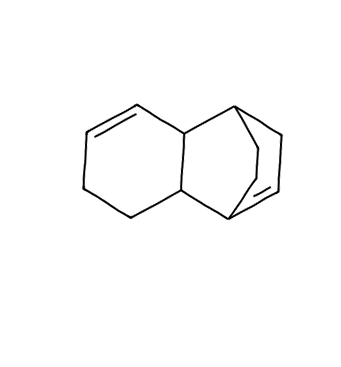 C1=CC2C3CC=C(CC3)C2CC1